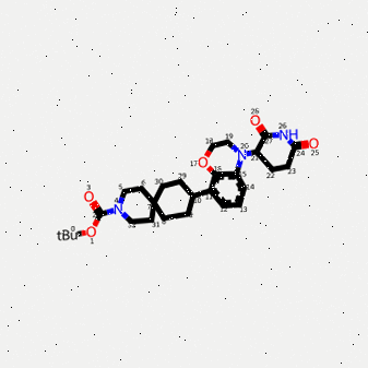 CC(C)(C)OC(=O)N1CCC2(CCC(c3cccc4c3OCCN4C3CCC(=O)NC3=O)CC2)CC1